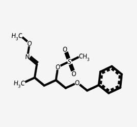 CON=CC(C)CC(COCc1ccccc1)OS(C)(=O)=O